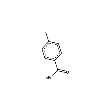 [CH2]CCC(=O)c1ccc(C)cc1